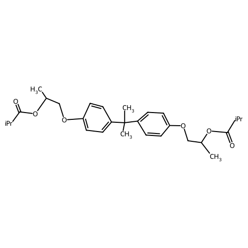 CC(COc1ccc(C(C)(C)c2ccc(OCC(C)OC(=O)C(C)C)cc2)cc1)OC(=O)C(C)C